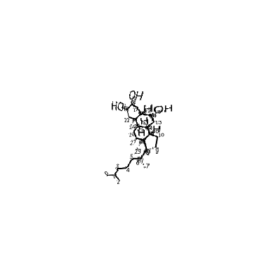 CC(C)CCC[C@@H](C)[C@H]1CC[C@H]2[C@@H]3C[C@H](O)[C@@H]4C[C@@H](O)[C@@H](O)C[C@]4(C)[C@H]3CC[C@]12C